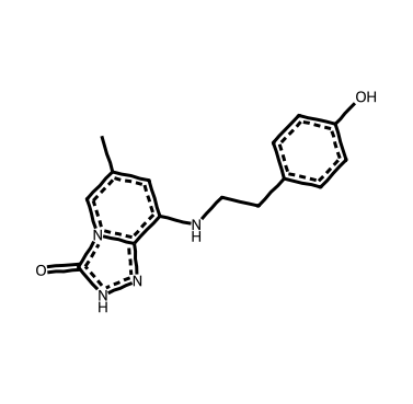 Cc1cc(NCCc2ccc(O)cc2)c2n[nH]c(=O)n2c1